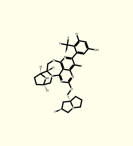 Oc1cc(Cl)c(C(F)(F)F)c(-c2nc3c4c(nc(OC[C@]56CCCN5C[C@@H](F)C6)nc4c2F)N2C[C@H]4CC[C@H](N4)[C@@H]2CO3)c1